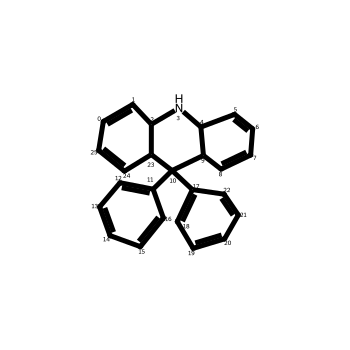 C1=CC2NC3C=CC=CC3C(c3ccccc3)(c3ccccc3)C2C=C1